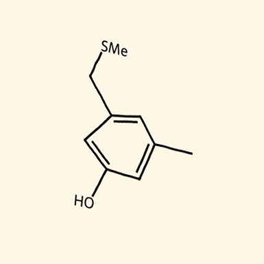 CSCc1cc(C)cc(O)c1